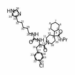 CCCC(=O)C1(C2CCCCC2)CCN(C(=O)[C@@H](Cc2ccc(Cl)cc2)NC(=O)NCCCCCc2c[nH]cn2)CC1